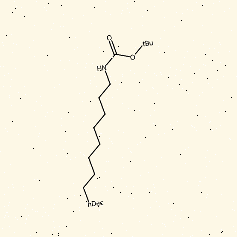 CCCCCCCCCCCCCCCCCCNC(=O)OC(C)(C)C